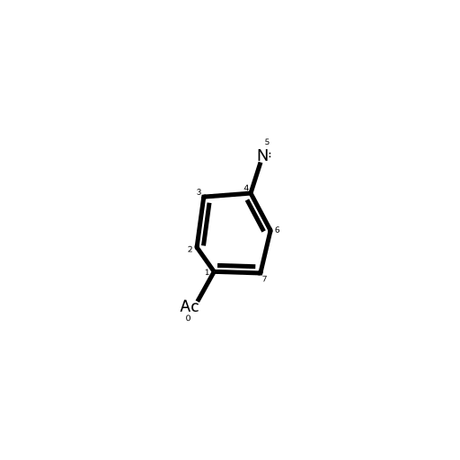 CC(=O)c1ccc([N])cc1